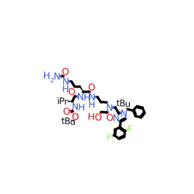 CC(C)[C@H](NC(=O)OC(C)(C)C)C(=O)N[C@@H](CCCNC(N)=O)C(=O)NCCCN(C(=O)CO)[C@@H](c1nc(-c2cc(F)ccc2F)cn1Cc1ccccc1)C(C)(C)C